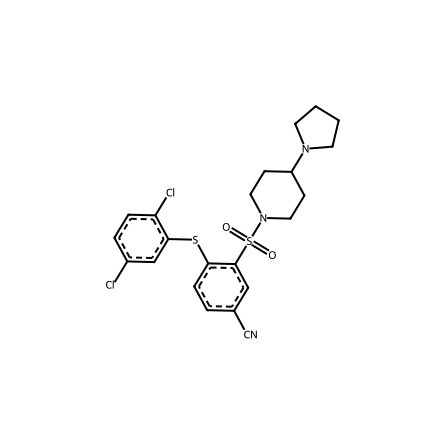 N#Cc1ccc(Sc2cc(Cl)ccc2Cl)c(S(=O)(=O)N2CCC(N3CCCC3)CC2)c1